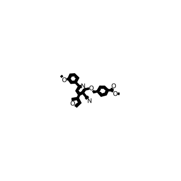 COC(=O)c1ccc(COc2nc(-c3cccc(OC)c3)cc(-c3ccoc3)c2C#N)cc1